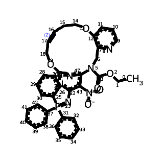 CCOC(=O)N1Cc2ncccc2OCC/C=C\COc2nc(N=P(c3ccccc3)(c3ccccc3)c3ccccc3)c([N+](=O)[O-])c1n2